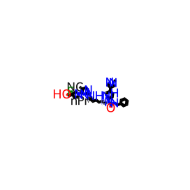 CCC[C@H](CCC/C=C/N(C(=O)NCc1ccccc1)c1ccc(-c2cnn(C)c2)cn1)Nc1ncc(C#N)c(N2CCC(F)(CO)C2)n1